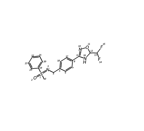 CS(=O)(=NCc1ccc(C2=NOC(C(F)F)N2)cc1)c1ccccc1